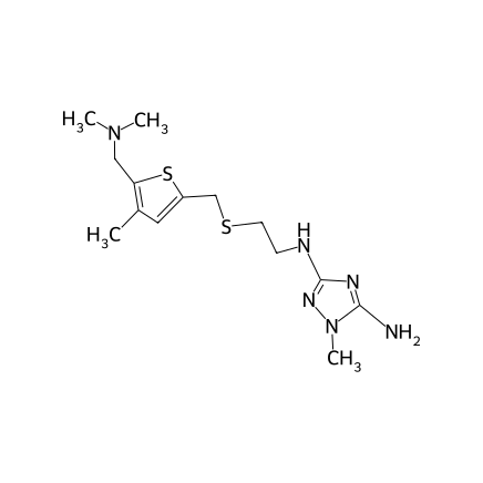 Cc1cc(CSCCNc2nc(N)n(C)n2)sc1CN(C)C